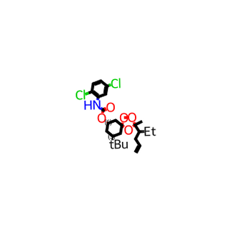 C=CCC(CC)C1(C)OOC2(C[C@@H](OC(=O)Nc3cc(Cl)ccc3Cl)C[C@H](C(C)(C)C)C2)O1